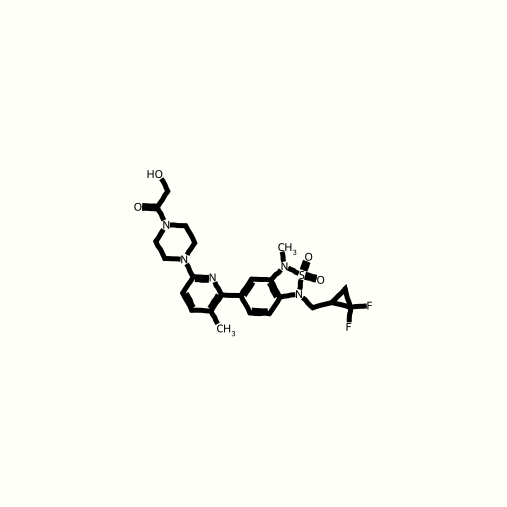 Cc1ccc(N2CCN(C(=O)CO)CC2)nc1-c1ccc2c(c1)N(C)S(=O)(=O)N2CC1CC1(F)F